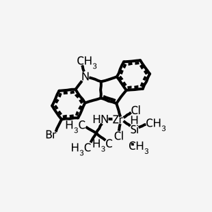 CN1c2ccc(Br)cc2C2=[C]([Zr]([Cl])([Cl])([NH]C(C)(C)C)[SiH](C)C)c3ccccc3C21